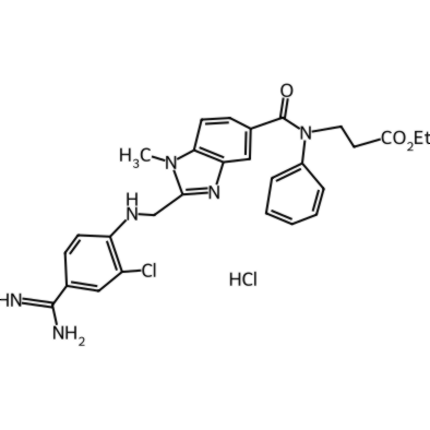 CCOC(=O)CCN(C(=O)c1ccc2c(c1)nc(CNc1ccc(C(=N)N)cc1Cl)n2C)c1ccccc1.Cl